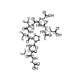 CCC[C@H](NC(=O)[C@@H]1CCCN1C(=O)[C@@H](NC(=O)[C@@H](NC(=O)[C@@H](CCC(=O)O)NC(=O)[C@H](CCC(=O)O)NC(C)=O)C(C)C)C(C)C)C(=O)C(=O)NCC(=O)O